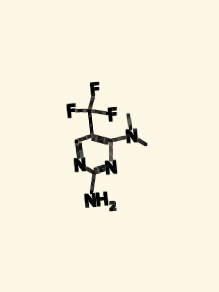 CN(C)c1nc(N)ncc1C(F)(F)F